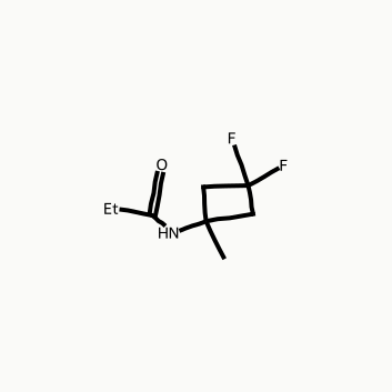 CCC(=O)NC1(C)CC(F)(F)C1